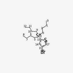 CCC[CH2][Sn]([CH2]CCC)([CH2]CCC)[c]1cc(Br)cs1